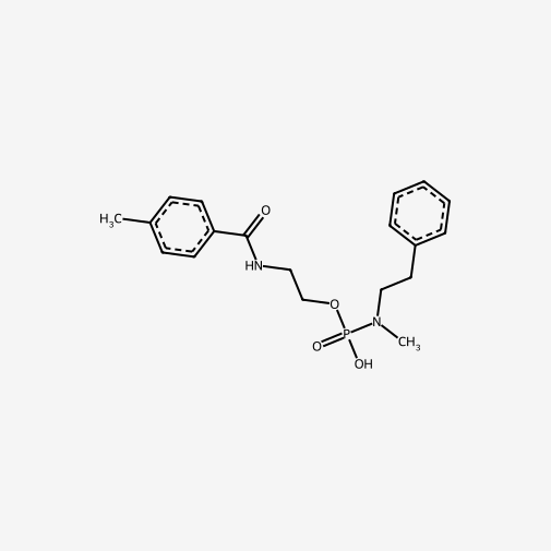 Cc1ccc(C(=O)NCCOP(=O)(O)N(C)CCc2ccccc2)cc1